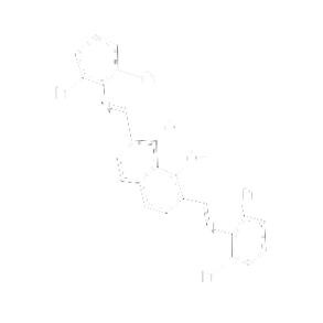 CC(C)c1cccc(C(C)C)c1/N=C/c1ccc2ccc(/C=N/c3c(C(C)C)cccc3C(C)C)c(O)c2c1O